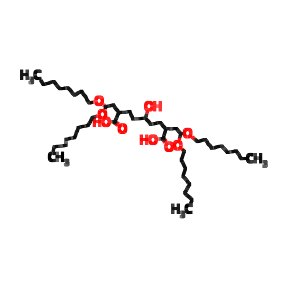 CCCCCCCCOC(CC(CCC(O)CCC(CC(OCCCCCCCC)OCCCCCCCC)C(=O)O)C(=O)O)OCCCCCCCC